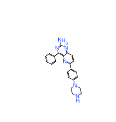 Nc1nc(-c2ccccc2)c2nc(-c3ccc(N4CCNCC4)cc3)ccc2n1